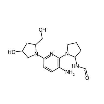 Nc1ccc(N2CC(O)CC2CO)nc1N1CCCC1NC=O